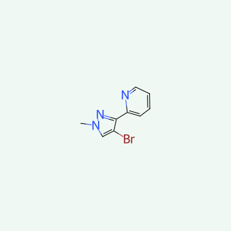 Cn1cc(Br)c(-c2ccccn2)n1